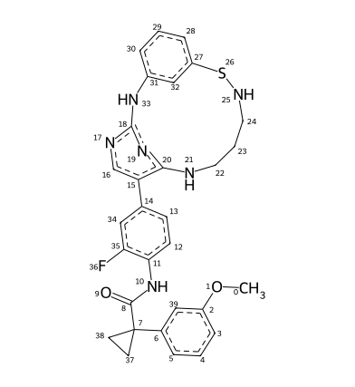 COc1cccc(C2(C(=O)Nc3ccc(-c4cnc5nc4NCCCNSc4cccc(c4)N5)cc3F)CC2)c1